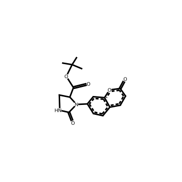 CC(C)(C)OC(=O)C1CNC(=O)N1c1ccc2ccc(=O)oc2c1